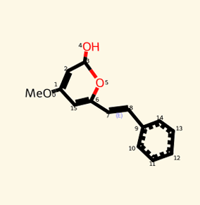 COC1=CC(O)OC(/C=C/c2ccccc2)=C1